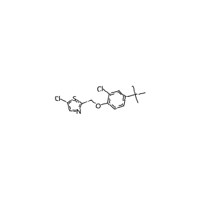 CC(C)(C)c1ccc(OCc2ncc(Cl)s2)c(Cl)c1